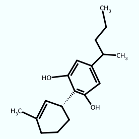 CCCC(C)c1cc(O)c([C@H]2C=C(C)CCC2)c(O)c1